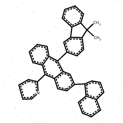 CC1(C)c2ccccc2-c2cc(-c3c4ccccc4c(-c4ccccn4)c4ccc(-c5cccc6ccccc56)cc34)ccc21